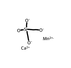 [Ca+2].[Mn+2].[O-][Si]([O-])([O-])[O-]